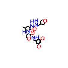 CCC(NC(=O)C(CC(C)C)NC(=O)NCC1CCOCC1)C(=O)C(=O)NCc1cc(OC)cc(OC)c1